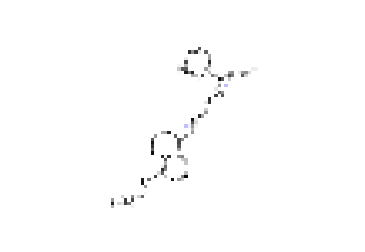 CCCCC/C(=N/OC/C=C/C1CCCc2c(OCC(=O)O)cccc21)c1cccnc1